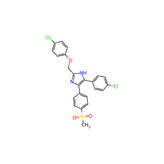 CS(=O)(=O)c1ccc(-c2nc(COc3ccc(Cl)cc3)[nH]c2-c2ccc(Cl)cc2)cc1